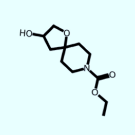 CCOC(=O)N1CCC2(CC1)CC(O)CO2